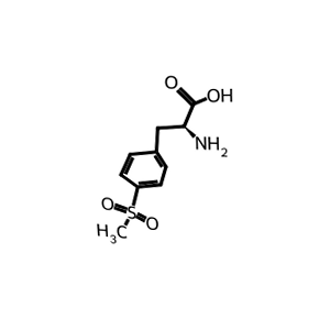 CS(=O)(=O)c1ccc(C[C@H](N)C(=O)O)cc1